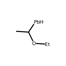 CCO[CH](C)[PbH]